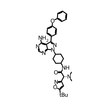 CN(C)[C@@H](C(=O)NC1CCC(n2nc(-c3ccc(Oc4ccccc4)cc3)c3c(N)ncnc32)CC1)c1cc(C(C)(C)C)on1